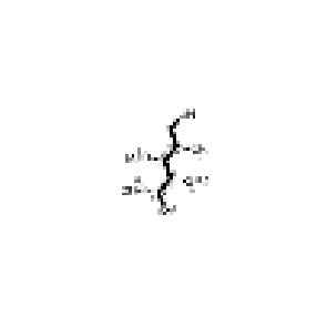 CO[C@@H]([C@H](OC)[C@H](O)CO)[C@H](O)C=O